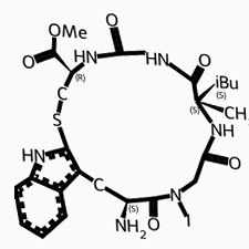 CC[C@H](C)[C@]1(C)NC(=O)CN(I)C(=O)[C@@H](N)Cc2c([nH]c3ccccc23)SC[C@@H](C(=O)OC)NC(=O)CNC1=O